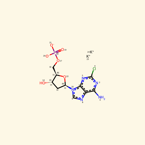 Nc1nc(Cl)nc2c1ncn2[C@H]1C[C@H](O)[C@@H](COP(=O)([O-])[O-])O1.[K+].[K+]